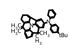 CC(C)(C)c1ccc(N(C2=CC=CCC2)c2cc3c4c(c2)c2c5n4-c4c(cccc4C3(C)C)C(C)(C)C=5CCC=2)cc1